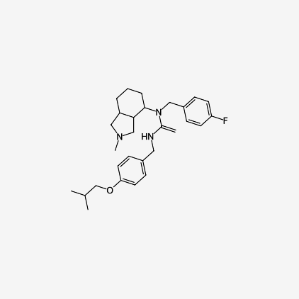 C=C(NCc1ccc(OCC(C)C)cc1)N(Cc1ccc(F)cc1)C1CCCC2CN(C)CC21